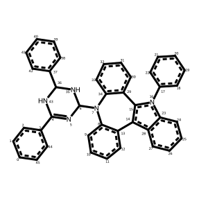 c1ccc(C2=NC(N3c4ccccc4-c4c(n(-c5ccccc5)c5ccccc45)-c4ccccc43)NC(c3ccccc3)N2)cc1